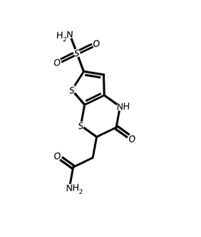 NC(=O)CC1Sc2sc(S(N)(=O)=O)cc2NC1=O